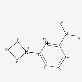 CC(C)c1cccc(N2CCC2)n1